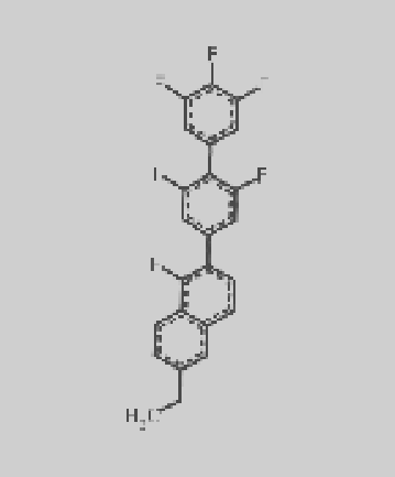 CCc1ccc2c(F)c(-c3cc(F)c(-c4cc(F)c(F)c(F)c4)c(F)c3)ccc2c1